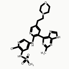 Cc1nc(-c2cc(CCN3CCOCC3)cnc2Nc2cnc(Cl)c(NS(C)(=O)=O)c2)c2nc[nH]c2n1